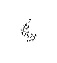 O=CCn1cc(Nc2nccc(NCc3c(Cl)ccc(F)c3Cl)n2)cn1